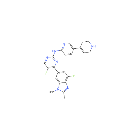 Cc1nc2c(F)cc(-c3nc(Nc4ccc(C5=CCNCC5)cn4)ncc3F)cc2n1C(C)C